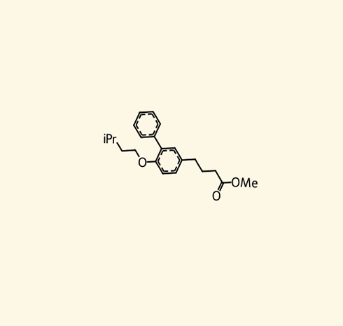 COC(=O)CCCc1ccc(OCCC(C)C)c(-c2ccccc2)c1